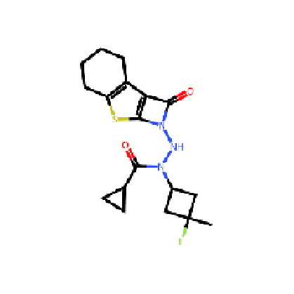 CC1(F)CC(N(NN2C(=O)c3c2sc2c3CCCC2)C(=O)C2CC2)C1